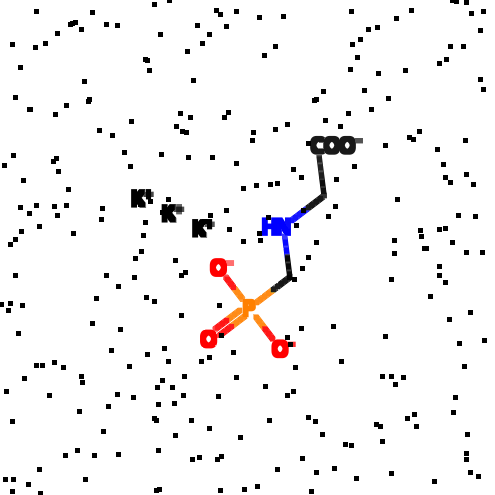 O=C([O-])CNCP(=O)([O-])[O-].[K+].[K+].[K+]